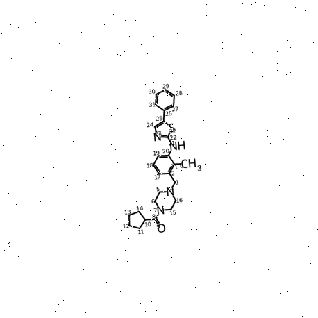 Cc1c(CN2CCN(C(=O)C3CCCC3)CC2)cccc1Nc1ncc(-c2ccccc2)s1